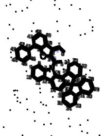 C/C=c1\c(=C(/C)n2c3ccccc3c3ccc4c(c32)C2=C(C=CCC2)C42c3ccccc3-c3ccccc32)oc2c(-c3ccccc3)cccc12